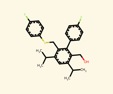 CC(C)c1cc(C(C)C)c(CSc2ccc(F)cc2)c(-c2ccc(F)cc2)c1CO